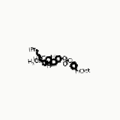 CCCCCCCCc1ccc(OC(=O)O[C@H]2CC[C@@]3(C)C(=CC[C@H]4[C@@H]5CC[C@H]([C@H](C)CCCC(C)C)[C@@]5(C)CC[C@@H]43)C2)cc1